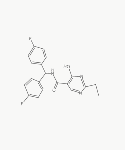 CCc1ncc(C(=O)NC(c2ccc(F)cc2)c2ccc(F)cc2)c(O)n1